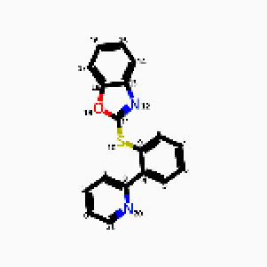 c1ccc(-c2ccccc2Sc2nc3ccccc3o2)nc1